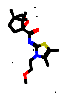 COCCn1c(C)c(C)s/c1=N\C(=O)[C@]12CC[C@](C)(CO1)C2(C)C